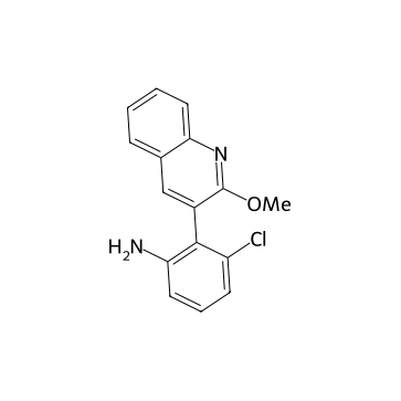 COc1nc2ccccc2cc1-c1c(N)cccc1Cl